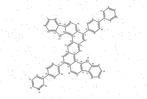 c1cncc(-c2ccc(-c3cc4cc5c(cc(-c6ccc(-c7cccnc7)cc6)c6ccc7c8ccccc8oc7c65)cc4c4c3ccc3c5ccccc5oc34)cc2)c1